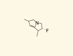 CC1C=C2C(C)[C@@H](F)CN2C1